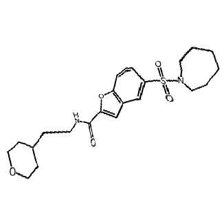 O=C(NCCC1CCOCC1)c1cc2cc(S(=O)(=O)N3CCCCCC3)ccc2o1